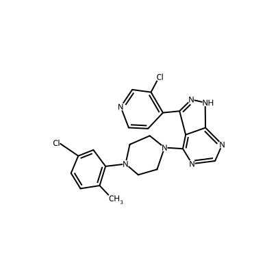 Cc1ccc(Cl)cc1N1CCN(c2ncnc3[nH]nc(-c4ccncc4Cl)c23)CC1